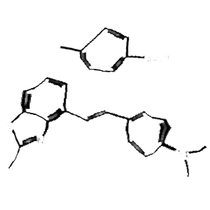 Cc1ccc(S(=O)(=O)O)cc1.Cc1nc2c(C=Cc3ccc(N(C)C)cc3)cccc2s1